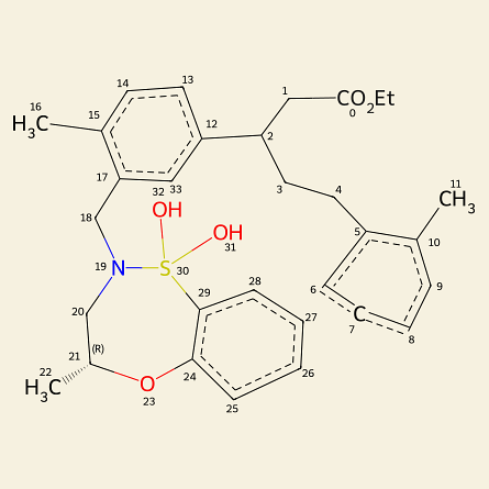 CCOC(=O)CC(CCc1ccccc1C)c1ccc(C)c(CN2C[C@@H](C)Oc3ccccc3S2(O)O)c1